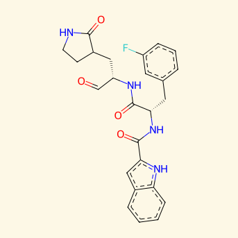 O=C[C@H](CC1CCNC1=O)NC(=O)[C@H](Cc1cccc(F)c1)NC(=O)c1cc2ccccc2[nH]1